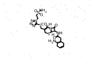 NC1=C(CC(=O)NC2C(=O)N3C(C(=O)O)=C(CSc4nnnn4CCS(N)(=O)=O)CS[C@H]23)CC=CC1